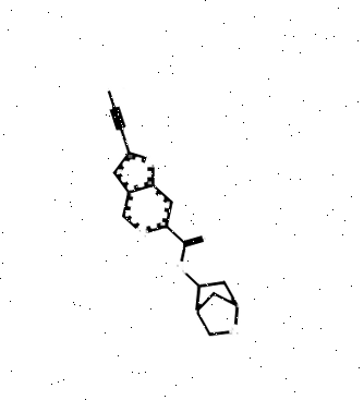 CC#Cc1cc2cnc(C(=O)NC3CC4CC3CN4)cc2o1